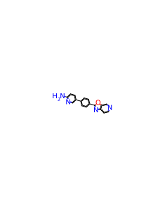 Nc1ccc(-c2ccc(-c3nc4ccncc4o3)cc2)cn1